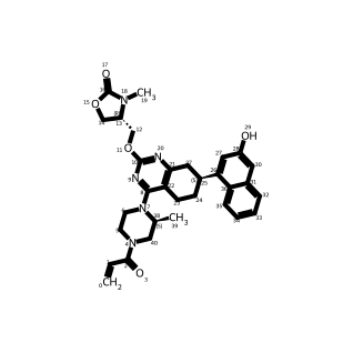 C=CC(=O)N1CCN(c2nc(OC[C@@H]3COC(=O)N3C)nc3c2CC[C@H](c2cc(O)cc4ccccc24)C3)[C@@H](C)C1